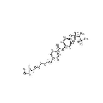 CC1(COCCCCOc2ccc(C(=O)Oc3ccc(OC(F)(F)C(F)C(F)(F)F)cc3)cc2)COC1